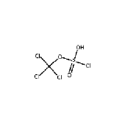 O=P(O)(Cl)OC(Cl)(Cl)Cl